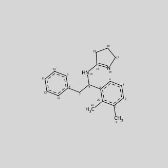 Cc1cccc(C(Cc2ccccc2)NC2=NCCC2)c1C